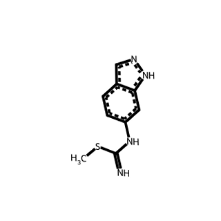 CSC(=N)Nc1ccc2cn[nH]c2c1